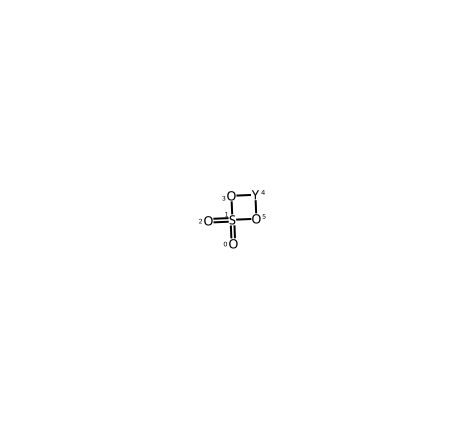 O=S1(=O)[O][Y][O]1